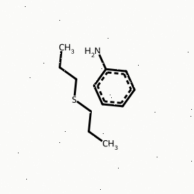 CCCSCCC.Nc1ccccc1